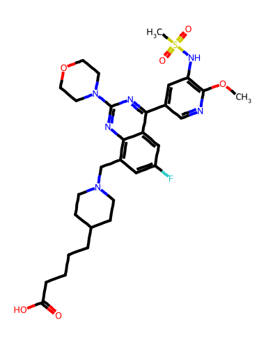 COc1ncc(-c2nc(N3CCOCC3)nc3c(CN4CCC(CCCCC(=O)O)CC4)cc(F)cc23)cc1NS(C)(=O)=O